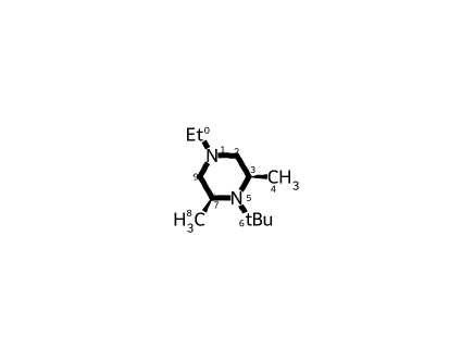 CCN1C[C@@H](C)N(C(C)(C)C)[C@@H](C)C1